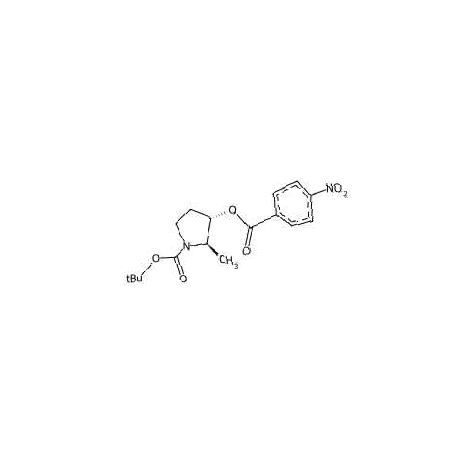 C[C@@H]1[C@@H](OC(=O)c2ccc([N+](=O)[O-])cc2)CCN1C(=O)OC(C)(C)C